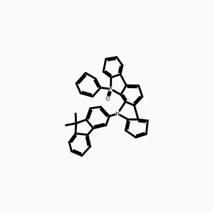 CC1(C)c2ccccc2-c2cc(-n3c4ccccc4c4ccc5c(c43)P(=O)(c3ccccc3)c3ccccc3-5)ccc21